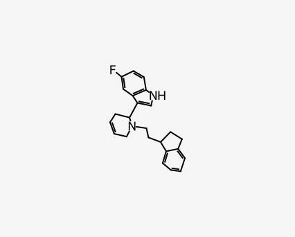 Fc1ccc2[nH]cc(C3CC=CCN3CCC3CCc4ccccc43)c2c1